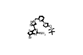 CC(C)(C)[Si](C)(C)OC1=CN(c2cccc(Cn3cc(-c4nc(N)nc5c(Br)csc45)nn3)n2)CC1